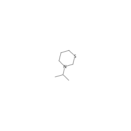 CC(C)N1CCCSC1